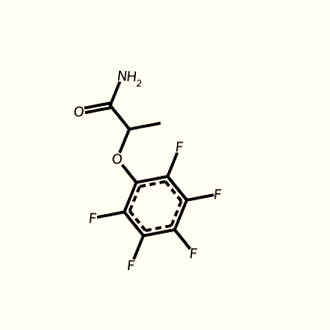 CC(Oc1c(F)c(F)c(F)c(F)c1F)C(N)=O